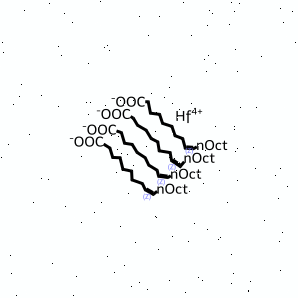 CCCCCCCC/C=C\CCCCCCCC(=O)[O-].CCCCCCCC/C=C\CCCCCCCC(=O)[O-].CCCCCCCC/C=C\CCCCCCCC(=O)[O-].CCCCCCCC/C=C\CCCCCCCC(=O)[O-].[Hf+4]